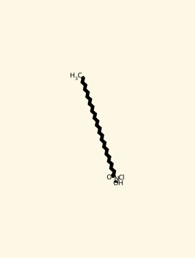 CCCCCCCCCCCCCCCCCCCCCCCCCCCCC(=O)N(O)Cl